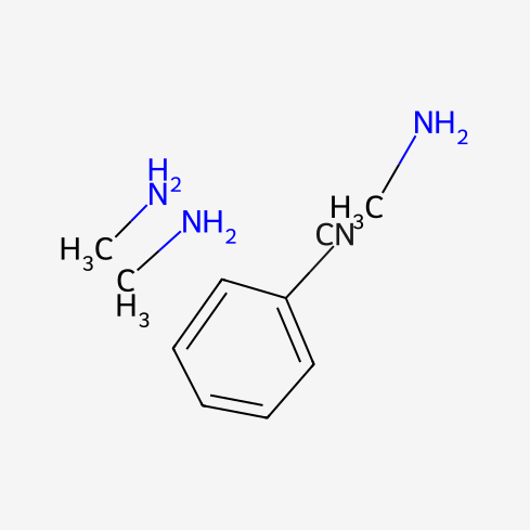 CN.CN.CN.N#Cc1ccccc1